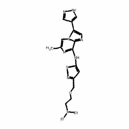 CCN(CC)CCOCc1cc(Nc2nc(C)cn3c(-c4cn[nH]c4)cnc23)sn1